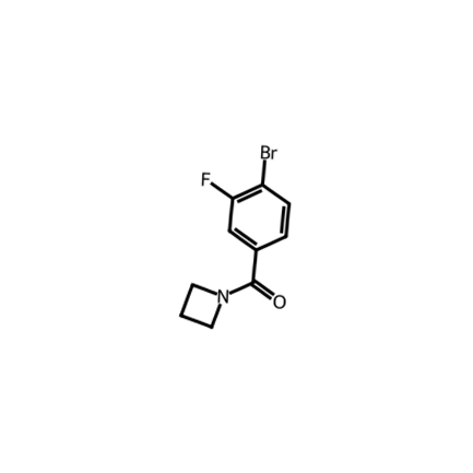 O=C(c1ccc(Br)c(F)c1)N1CCC1